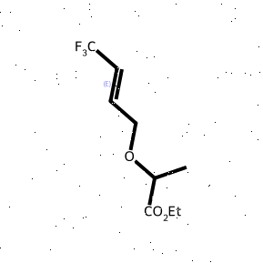 CCOC(=O)C(C)OC/C=C/C(F)(F)F